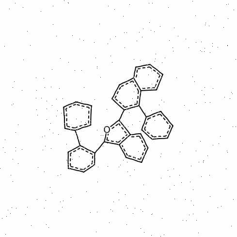 c1ccc(-c2ccccc2-c2oc(-c3ccc4ccccc4c3-c3ccccc3)c3ccccc23)cc1